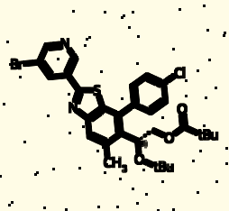 Cc1cc2nc(-c3cncc(Br)c3)sc2c(-c2ccc(Cl)cc2)c1[C@H](COC(=O)C(C)(C)C)OC(C)(C)C